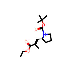 CCOC(=O)/C(C)=C/[C@@H]1CCCN1C(=O)OC(C)(C)C